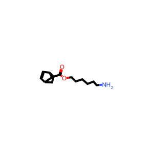 NCCCCCCOC(=O)C1CC2C=CC1C2